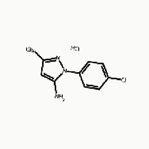 CC(C)(C)c1cc(N)n(-c2ccc(Cl)cc2)n1.Cl